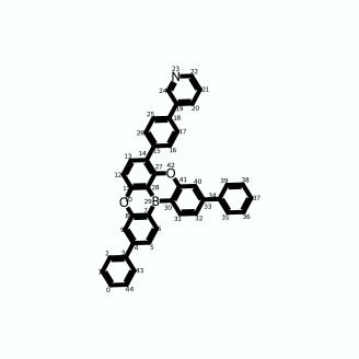 c1ccc(-c2ccc3c(c2)Oc2ccc(-c4ccc(-c5cccnc5)cc4)c4c2B3c2ccc(-c3ccccc3)cc2O4)cc1